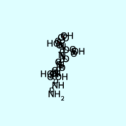 COc1cc(N=Nc2cc(OC)c(N=Nc3c(S(=O)(=O)O)cc4cc(NCc5ccc(N)cc5)ccc4c3O)cc2OC)c(OC)cc1N=Nc1cc(OCCCS(=O)(=O)O)c(N=Nc2ccc(S(=O)(=O)O)cc2S(=O)(=O)O)cc1C